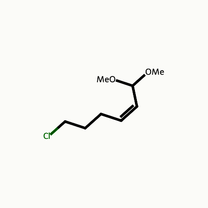 COC(/C=C\CCCCl)OC